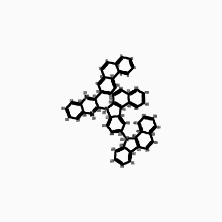 c1ccc2c(c1)ccc1cc(-c3nc4ccccc4nc3-n3c4ccc(-n5c6ccccc6c6ccc7ccccc7c65)cc4c4c5ccccc5ccc43)ccc12